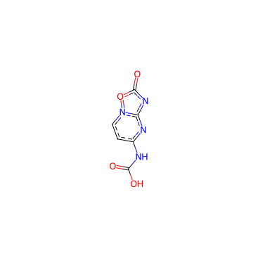 O=C(O)Nc1ccn2oc(=O)nc2n1